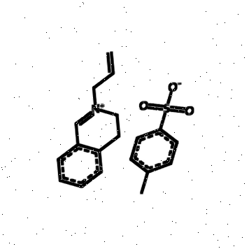 C=CC[N+]1=Cc2ccccc2CC1.Cc1ccc(S(=O)(=O)[O-])cc1